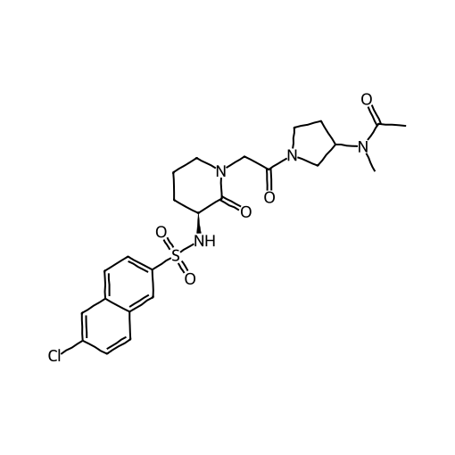 CC(=O)N(C)C1CCN(C(=O)CN2CCC[C@H](NS(=O)(=O)c3ccc4cc(Cl)ccc4c3)C2=O)C1